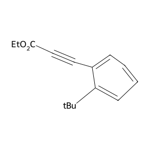 CCOC(=O)C#Cc1ccccc1C(C)(C)C